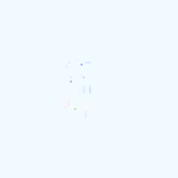 Cc1nc(S(C)(=O)=O)cc2cc[nH]c12